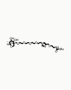 CCCCC(=O)NCCOCc1cn(CCOCCOCCOCCOC[C@@]23CO[C@@H](O2)[C@H](C)[C@@H](O)[C@H]3O)nn1